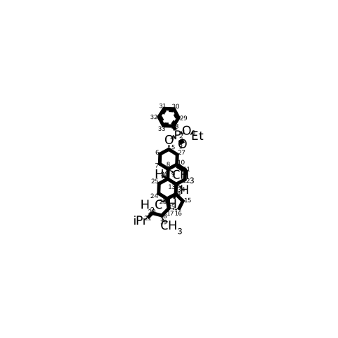 CCOP(=O)(O[C@H]1CC[C@@]2(C)C(=CC[C@H]3[C@@H]4CC[C@H]([C@H](C)CC(C)C)[C@@]4(C)CC[C@@H]32)C1)c1ccccc1